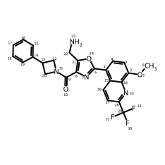 COc1ccc(-c2nc(C(=O)N3CC(c4ccccc4)C3)c(CN)o2)c2ccc(C(F)(F)F)nc12